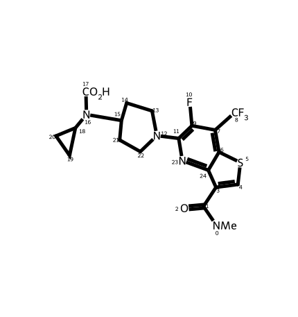 CNC(=O)c1csc2c(C(F)(F)F)c(F)c(N3CCC(N(C(=O)O)C4CC4)CC3)nc12